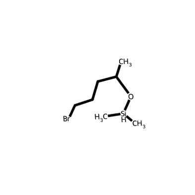 CC(CCCBr)O[SiH](C)C